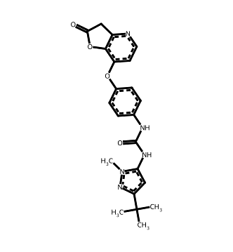 Cn1nc(C(C)(C)C)cc1NC(=O)Nc1ccc(Oc2ccnc3c2OC(=O)C3)cc1